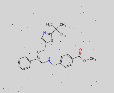 COC(=O)c1ccc(CNC[C@H](OCc2cnc(C(C)(C)C)s2)c2ccccc2)cc1